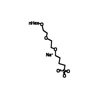 CCCCCCOCCOCCOCCCCS(=O)(=O)[O-].[Na+]